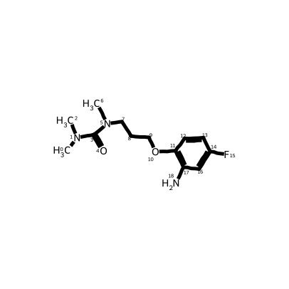 CN(C)C(=O)N(C)CCCOc1ccc(F)cc1N